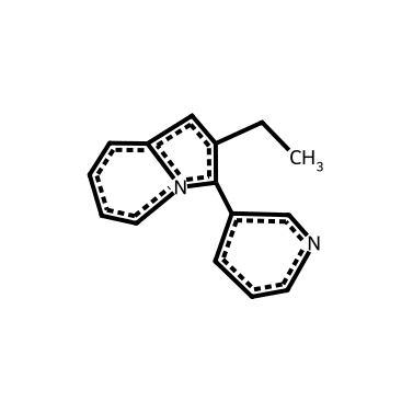 CCc1cc2ccccn2c1-c1cccnc1